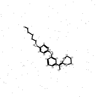 CCCCCCOc1ccc(Oc2cccc(C(C)=C3SCCCS3)c2)cc1